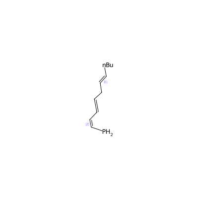 CCCC/C=C/CC=C/C=C\P